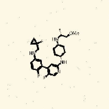 COC[C@@H](C)N[C@H]1CC[C@H](Nc2cc(-c3cc(NCC4(F)CC4)ccc3F)c(F)cn2)CC1